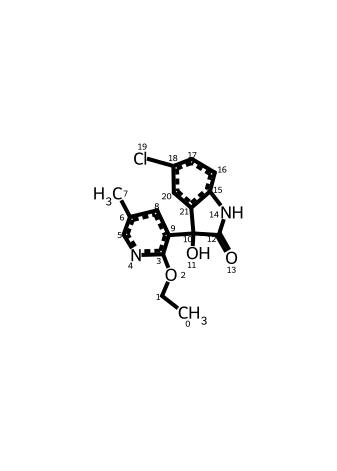 CCOc1ncc(C)cc1C1(O)C(=O)Nc2ccc(Cl)cc21